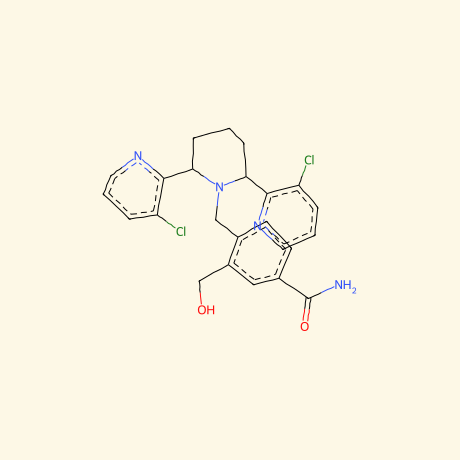 NC(=O)c1ccc(CN2C(c3ncccc3Cl)CCCC2c2ncccc2Cl)c(CO)c1